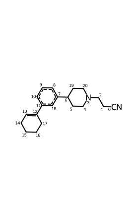 N#CCCN1CCC(c2cc[c]c(C3=CCCCC3)c2)CC1